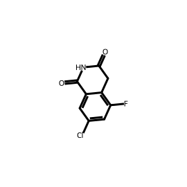 O=C1Cc2c(F)cc(Cl)cc2C(=O)N1